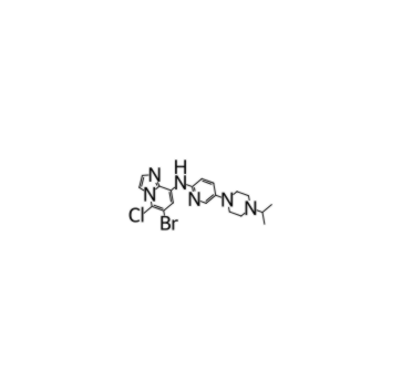 CC(C)N1CCN(c2ccc(Nc3cc(Br)c(Cl)n4ccnc34)nc2)CC1